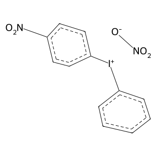 O=[N+]([O-])[O-].O=[N+]([O-])c1ccc([I+]c2ccccc2)cc1